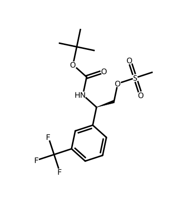 CC(C)(C)OC(=O)N[C@@H](COS(C)(=O)=O)c1cccc(C(F)(F)F)c1